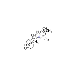 CC(C/C=C/C(O[Si](C)(C)C)(C(F)(F)F)C(F)(F)F)C1=CC[C@@H]2C(=O)CCC[C@@]12C